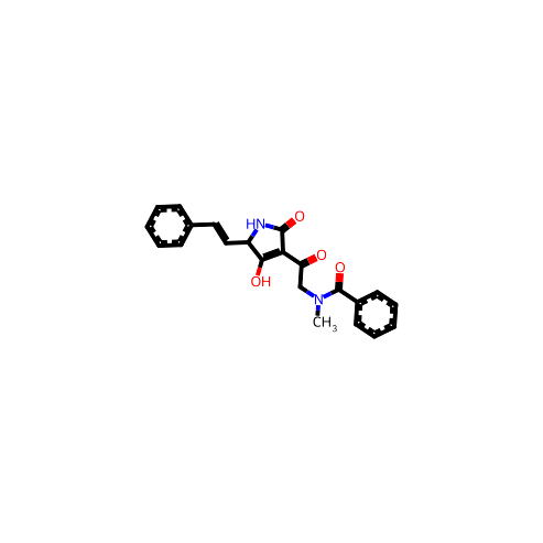 CN(CC(=O)C1=C(O)C(C=Cc2ccccc2)NC1=O)C(=O)c1ccccc1